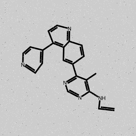 C=CNc1ncnc(-c2ccc3nccc(-c4ccncc4)c3c2)c1C